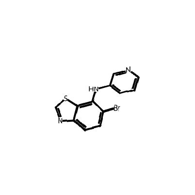 Brc1ccc2ncsc2c1Nc1cccnc1